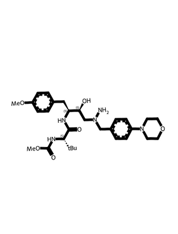 COC(=O)N[C@H](C(=O)N[C@@H](Cc1ccc(OC)cc1)[C@@H](O)CN(N)Cc1ccc(N2CCOCC2)cc1)C(C)(C)C